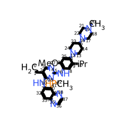 C=Cc1cnc(Nc2cc(C(C)C)c(N3CCC(N4CCN(C)CC4)CC3)cc2OC)nc1Nc1ccc2nccnc2c1PC